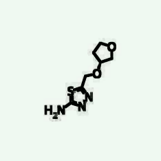 Nc1nnc(CO[C@H]2CCOC2)s1